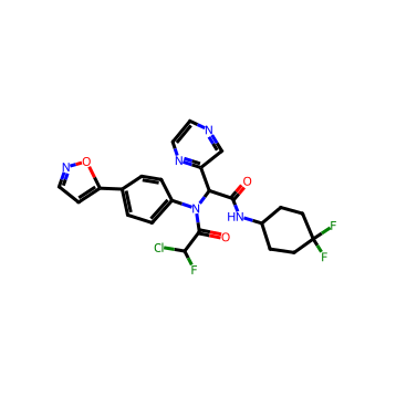 O=C(NC1CCC(F)(F)CC1)C(c1cnccn1)N(C(=O)C(F)Cl)c1ccc(-c2ccno2)cc1